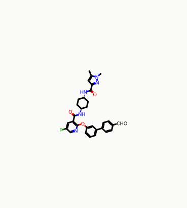 Cc1cc(C(=O)N[C@H]2CC[C@H](NC(=O)c3cc(F)cnc3Oc3cccc(-c4ccc(C=O)cc4)c3)CC2)nn1C